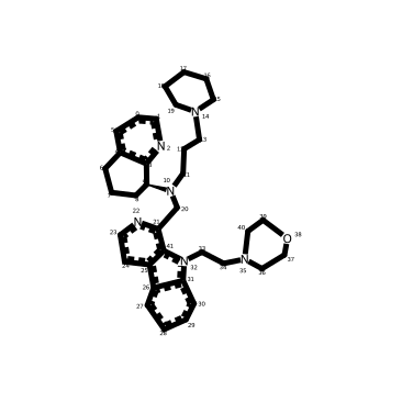 c1cnc2c(c1)CCC[C@@H]2N(CCCN1CCCCC1)Cc1nccc2c3ccccc3n(CCN3CCOCC3)c12